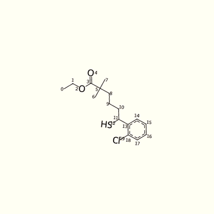 CCOC(=O)C(C)(C)CCCC(S)c1ccccc1Cl